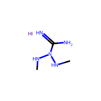 CNN(NC)C(=N)N.I